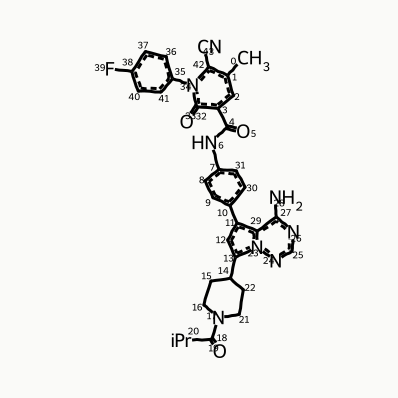 Cc1cc(C(=O)Nc2ccc(-c3cc(C4CCN(C(=O)C(C)C)CC4)n4ncnc(N)c34)cc2)c(=O)n(-c2ccc(F)cc2)c1C#N